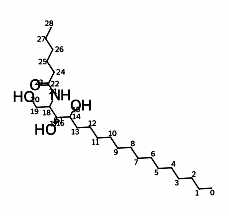 CCCCCCCCCCCCCCC(O)[C@@H](O)C(CO)NC(=O)CCCCC